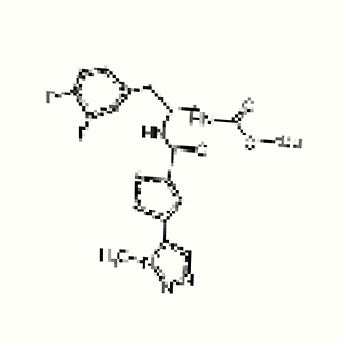 Cn1nncc1-c1csc(C(=O)N[C@H](CNC(=O)OC(C)(C)C)Cc2ccc(F)c(F)c2)c1